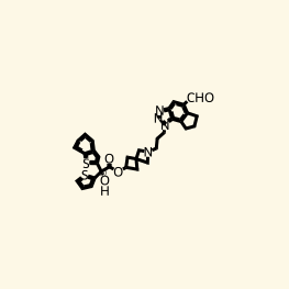 O=Cc1cc2nnn(CCCN3CC4(CC(OC(=O)[C@](O)(c5cccs5)c5cc6ccccc6s5)C4)C3)c2c2c1CCC2